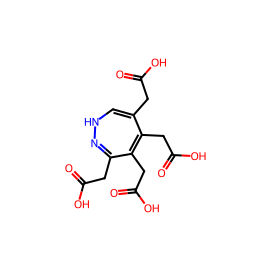 O=C(O)CC1=CNN=C(CC(=O)O)C(CC(=O)O)=C1CC(=O)O